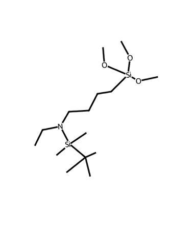 CCN(CCCC[Si](OC)(OC)OC)[Si](C)(C)C(C)(C)C